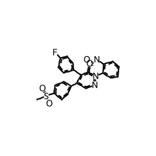 CS(=O)(=O)c1ccc(-c2cnn(-c3ccccc3[N+](=O)[O-])c(=O)c2-c2ccc(F)cc2)cc1